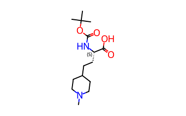 CN1CCC(CC[C@H](NC(=O)OC(C)(C)C)C(=O)O)CC1